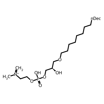 C=[N+](C)CCOP(=O)(O)OC[C@H](O)COCCCCCCCCCCCCCCCCCC